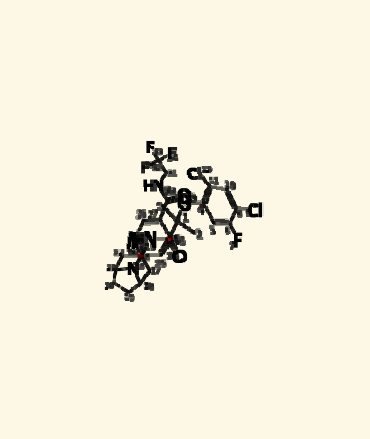 CC(C)(Oc1cc(F)c(Cl)cc1Cl)C(=O)NC1CC2CCC(C1)N2c1ccc(C(=O)NCC(F)(F)F)cn1